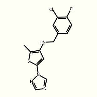 Cc1sc(-n2cncn2)cc1NCc1ccc(Cl)c(Cl)c1